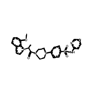 COc1cccc2ccn(C(C)C(=O)N3CCN(c4ccc(S(=O)(=O)Nc5ccncn5)cc4)CC3)c12